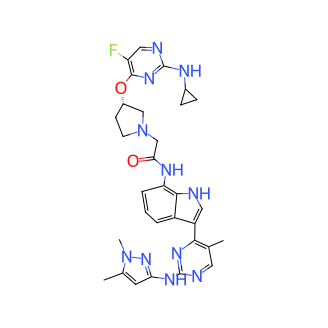 Cc1cnc(Nc2cc(C)n(C)n2)nc1-c1c[nH]c2c(NC(=O)CN3CC[C@H](Oc4nc(NC5CC5)ncc4F)C3)cccc12